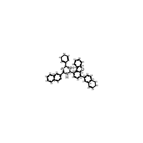 C1=CC(C2N=C(c3ccc4ccccc4c3)NC(c3ccc(-c4ccc5c(c4)C=CCC5)c4oc5ccccc5c34)N2)=CCC1